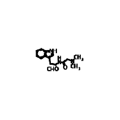 CN(C)CC(=O)N[C@H](C=O)Cc1c[nH]c2ccccc12